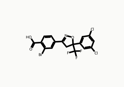 O=C(O)c1ccc(C2=NOC(c3cc(Cl)cc(Cl)c3)(C(F)(F)F)C2)cc1Br